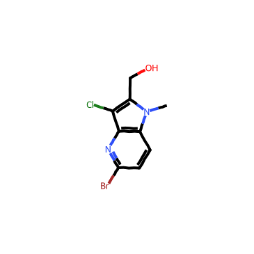 Cn1c(CO)c(Cl)c2nc(Br)ccc21